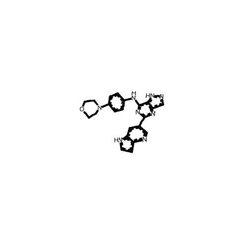 c1cc2ncc(-c3nc(Nc4ccc(N5CCOCC5)cc4)c4[nH]ncc4n3)cc2[nH]1